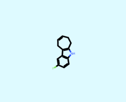 Fc1ccc2[nH]c3c(c2c1)CC=CCC3